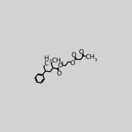 CCC(CC(CC)c1ccccc1)C(=O)OCCOC(=O)CC(C)=O